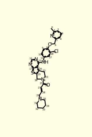 Cc1cccc(COc2ccc(Nc3ncnc4sc5c(c34)CCN(C(=O)C=CCN3CCCCC3)C5)cc2Cl)n1